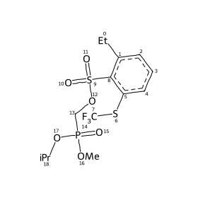 CCc1cccc(SC(F)(F)F)c1S(=O)(=O)OCP(=O)(OC)OC(C)C